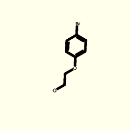 [O]CCOc1ccc(Br)cc1